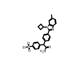 CCS(=O)(=O)c1ccc(C(C(N)=O)c2ccc(-c3nc4ccc(C)cc4n3C3CCC3)cc2)cc1